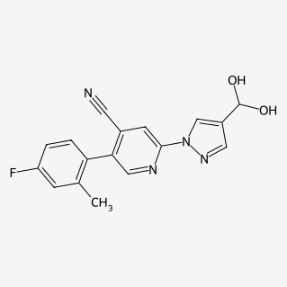 Cc1cc(F)ccc1-c1cnc(-n2cc(C(O)O)cn2)cc1C#N